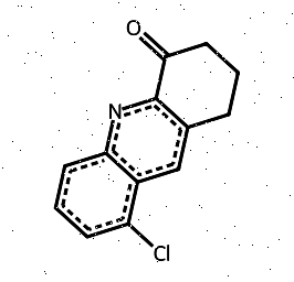 O=C1CCCc2cc3c(Cl)cccc3nc21